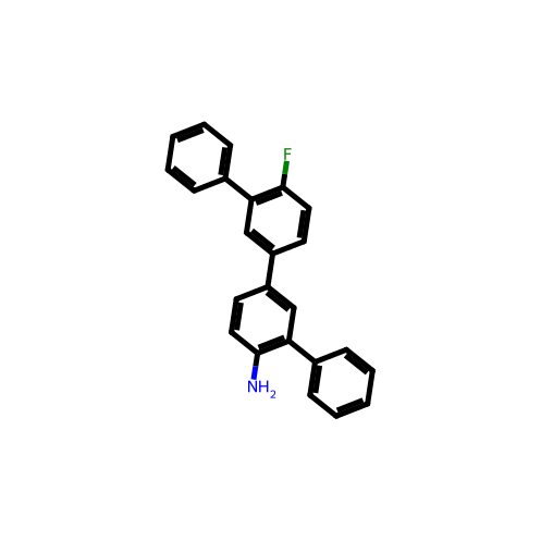 Nc1ccc(-c2ccc(F)c(-c3ccccc3)c2)cc1-c1ccccc1